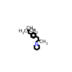 CC(Cc1ccc(CC(C)(C)C)cc1)CN1CCCCC1